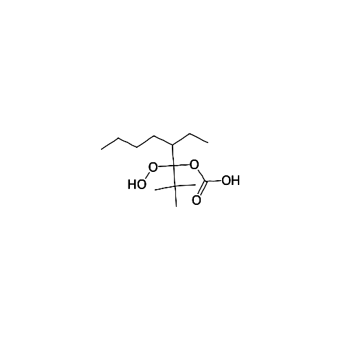 CCCCC(CC)C(OO)(OC(=O)O)C(C)(C)C